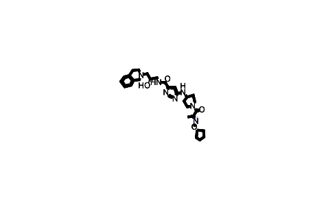 C/C(=N\OC1CCCC1)C(=O)N1CCC(Nc2cc(C(=O)NC[C@H](O)CN3CCc4ccccc4C3)ncn2)CC1